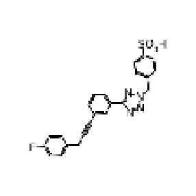 O=S(=O)(O)c1ccc(Cn2nnc(-c3cccc(C#CCc4ccc(F)cc4)c3)n2)cc1